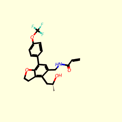 C=CC(=O)NCc1cc(-c2ccc(OC(F)(F)F)cc2)c2c(c1C[C@@H](C)O)CCO2